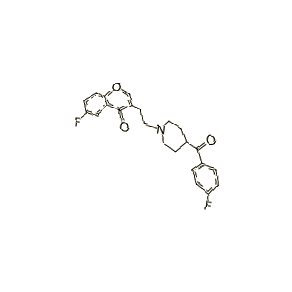 O=C(c1ccc(F)cc1)C1CCN(CCc2coc3ccc(F)cc3c2=O)CC1